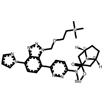 CN(c1ccc(-c2ccc(-n3cccn3)c3nnn(COCC[Si](C)(C)C)c23)nn1)C1C[C@H]2CC[C@@H](C1)N2C(=O)OC(C)(C)C